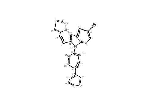 Brc1ccc2c(c1)c1c3ccccc3ccc1n2-c1ncc(-c2ccccc2)cn1